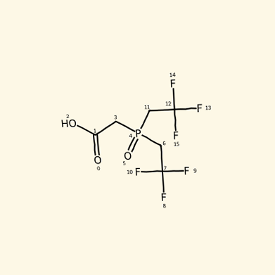 O=C(O)CP(=O)(CC(F)(F)F)CC(F)(F)F